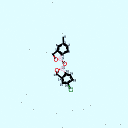 Cc1ccc2c(c1)COB2OB1OCc2cc(Cl)ccc21